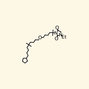 CCN1CC(=O)N(C(C)(C)CCCCOCCCCC(C)(C)CCCCC2CCCC2)C1=O